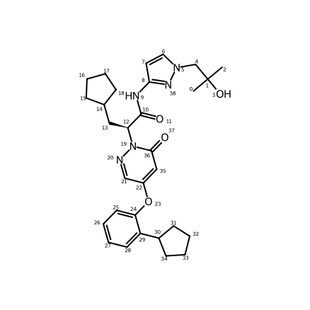 CC(C)(O)Cn1ccc(NC(=O)[C@H](CC2CCCC2)n2ncc(Oc3ccccc3C3CCCC3)cc2=O)n1